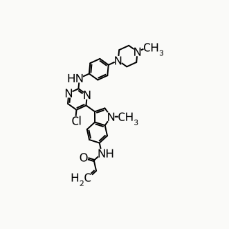 C=CC(=O)Nc1ccc2c(-c3nc(Nc4ccc(N5CCN(C)CC5)cc4)ncc3Cl)cn(C)c2c1